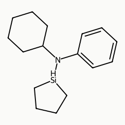 c1ccc(N(C2CCCCC2)[SiH]2CCCC2)cc1